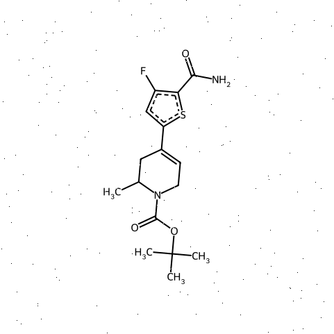 CC1CC(c2cc(F)c(C(N)=O)s2)=CCN1C(=O)OC(C)(C)C